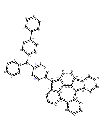 C=C(/C=C\C(=C/C)N(c1ccccc1)c1ccc(-c2ccccc2)cc1)n1c2cccc3c4ccccc4n4c5ccccc5c5ccc1c(c32)c54